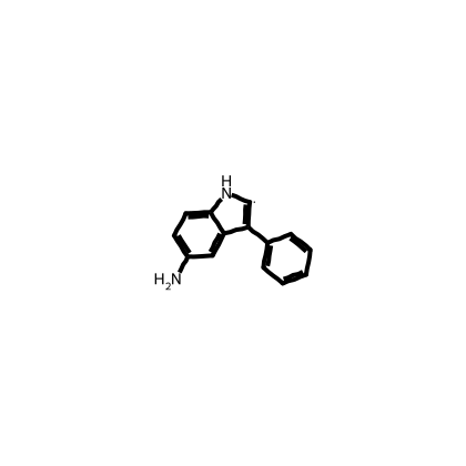 Nc1ccc2[nH][c]c(-c3ccccc3)c2c1